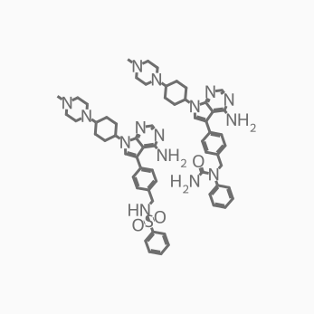 CN1CCN(C2CCC(n3cc(-c4ccc(CN(C(N)=O)c5ccccc5)cc4)c4c(N)ncnc43)CC2)CC1.CN1CCN(C2CCC(n3cc(-c4ccc(CNS(=O)(=O)c5ccccc5)cc4)c4c(N)ncnc43)CC2)CC1